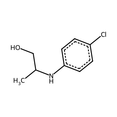 CC(CO)Nc1ccc(Cl)cc1